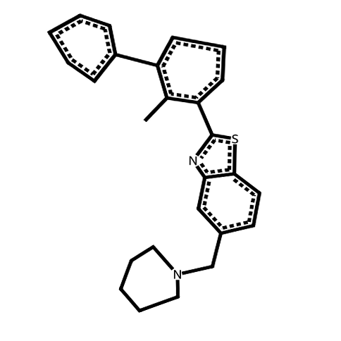 Cc1c(-c2ccccc2)cccc1-c1nc2cc(CN3CCCCC3)ccc2s1